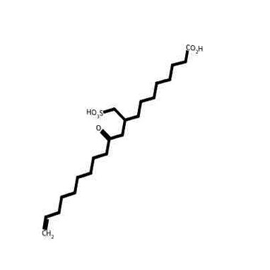 C=CCCCCCCCC(=O)CC(CCCCCCCC(=O)O)CS(=O)(=O)O